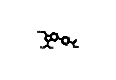 COC(=O)c1ncc(-c2ccc3c(c2)c(C(C)O)nn3CC(C)(C)C)cn1